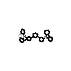 c1cc(-c2cccc(-n3c4ccccc4c4ccccc43)c2)cc(-c2ccc3c4cccc5c4n(c3c2)-c2ccccc2O5)c1